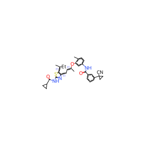 CC/C(C)=c1/sc(NC(=O)C2CC2)n/c1=C/C=C(\C)Oc1cc(NC(=O)c2cccc(C3(C#N)CC3)c2)ccc1C